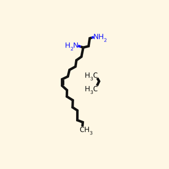 CCC.CCCCCCCC/C=C\CCCCCC(N)CCN